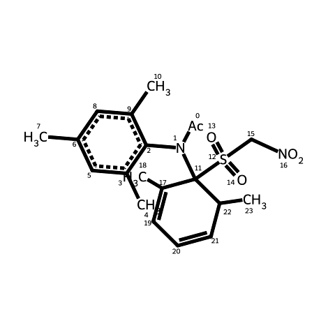 CC(=O)N(c1c(C)cc(C)cc1C)C1(S(=O)(=O)C[N+](=O)[O-])C(C)=CC=CC1C